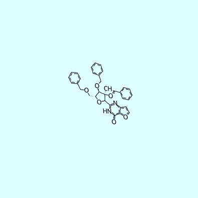 C[C@]1(OCc2ccccc2)C(c2nc3ccoc3c(=O)[nH]2)O[C@H](COCc2ccccc2)[C@H]1OCc1ccccc1